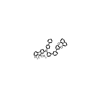 CC1(C)c2ccccc2-c2ccc(N(c3ccc(-c4ccccc4)cc3)c3cccc(-c4cccc(-c5ccc6c(c5)Oc5cccc7cccc(c57)O6)c4)c3)cc21